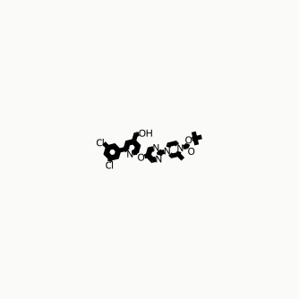 CC1CN(c2ncc(Oc3cc(CO)cc(-c4cc(Cl)cc(Cl)c4)n3)cn2)CCN1C(=O)OC(C)(C)C